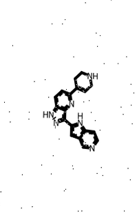 C1=C(c2ccc3[nH]nc(-c4cc5cnccc5[nH]4)c3n2)CCNC1